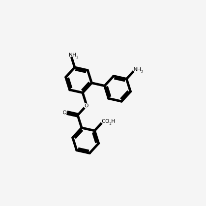 Nc1cccc(-c2cc(N)ccc2OC(=O)c2ccccc2C(=O)O)c1